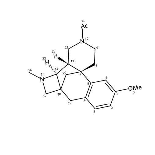 COc1ccc2c(c1)[C@@]13CCN(C(C)=O)C[C@H]1[C@@H]1N(C)CC1(C2)C3